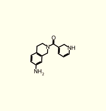 Nc1ccc2c(c1)CN(C(=O)C1=CC=CNC1)CC2